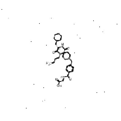 CCCCN1C(=O)[C@H](CC2CCCCC2)NC(=O)C12CCN(Cc1ccc(C(=O)NCC(=O)O)cc1)CC2